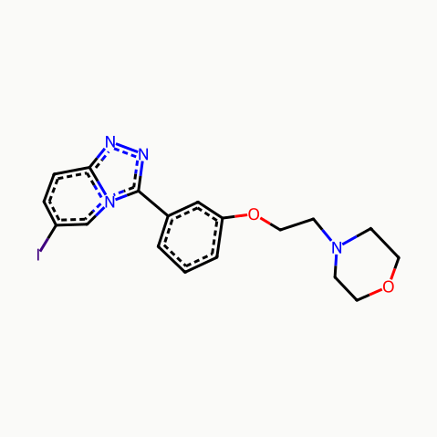 Ic1ccc2nnc(-c3cccc(OCCN4CCOCC4)c3)n2c1